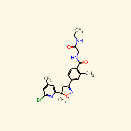 Cc1cc(C2=NO[C@](c3cc(C(F)(F)F)cc(Br)n3)(C(F)(F)F)C2)ccc1C(=O)NCC(=O)NCC(F)(F)F